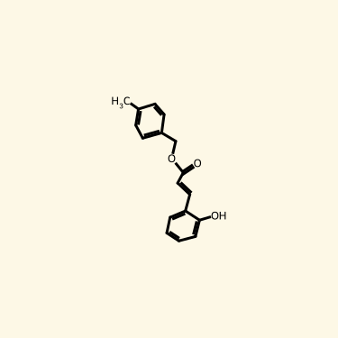 Cc1ccc(COC(=O)C=Cc2ccccc2O)cc1